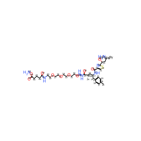 CCCOC(C[C@@H](N)C(C)C)c1nc(C(=O)N[C@@H](Cc2ccc(C)cc2)C[C@H](C)C(=O)NNOCCOCCOCCOCCNC(=O)CCCC(=O)ON)cs1